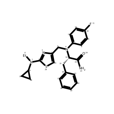 CCN(c1nc(CN(c2ccc(F)cc2)[C@@H](Cc2ccccc2)C(N)=O)cs1)C1CC1